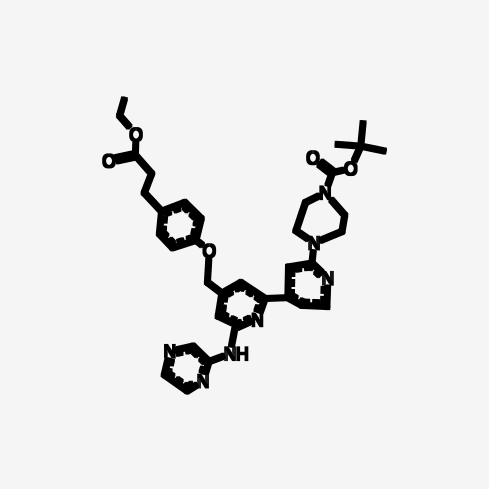 CCOC(=O)CCc1ccc(OCc2cc(Nc3cnccn3)nc(-c3ccnc(N4CCN(C(=O)OC(C)(C)C)CC4)c3)c2)cc1